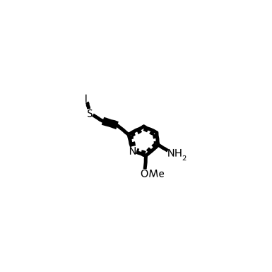 COc1nc(C#CSI)ccc1N